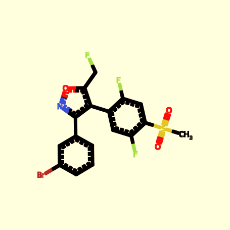 CS(=O)(=O)c1cc(F)c(-c2c(-c3cccc(Br)c3)noc2CF)cc1F